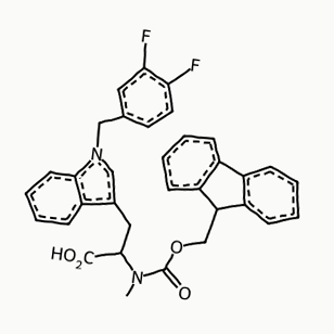 CN(C(=O)OCC1c2ccccc2-c2ccccc21)C(Cc1cn(Cc2ccc(F)c(F)c2)c2ccccc12)C(=O)O